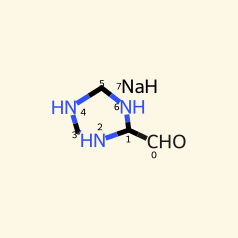 O=CC1NCNCN1.[NaH]